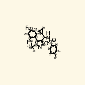 Cc1ccc(S(=O)(=O)NC(c2cnn(C(C)(C)C)c2-c2ccc(F)cc2F)C2CC2)cc1